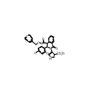 CCOC(=O)C1CNCC1N1C(=O)c2ccccc2C(C(=O)NOCc2ccccc2)C1c1ccc(Cl)cc1Cl